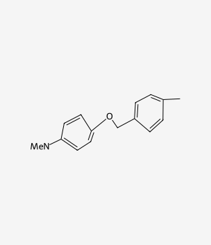 CNc1ccc(OCc2ccc(C)cc2)cc1